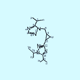 CC(C)c1ncnn1CC1CC1c1nc(C(C)C)n(C(C)C)n1